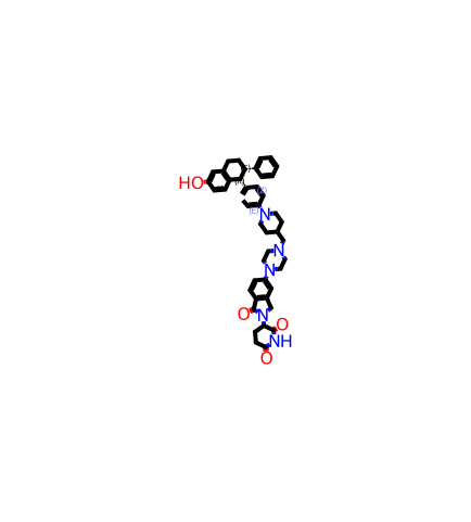 C=C(/C=C\C(=C/C)N1CCC(CN2CCN(c3ccc4c(c3)CN(C3CCC(=O)NC3=O)C4=O)CC2)CC1)[C@@H]1c2ccc(O)cc2CC[C@@H]1c1ccccc1